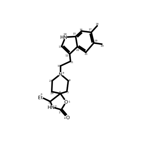 CCC1NC(=O)OC12CCN(CCc1c[nH]c3cc(C)c(C)cc13)CC2